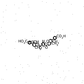 CC1(C)C(c2ccc(C(=O)O)cc2)=CC[C@]2(C)CN(C(=O)c3cccc(C(=O)N4CC=C5C(O)(O)C(c6ccc(C(=O)O)cc6)=CC[C@]5(C)C4)n3)CC=C12